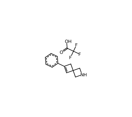 C1=C(c2ccccc2)CC12CNC2.O=C(O)C(F)(F)F